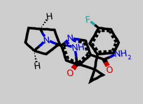 NC(=O)c1ccc(N2[C@@H]3CC[C@H]2C[C@@H](NC(=O)C2(c4cccc(F)c4)CC2)C3)nc1